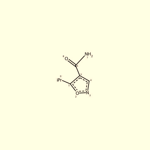 CC(C)c1oncc1C(N)=O